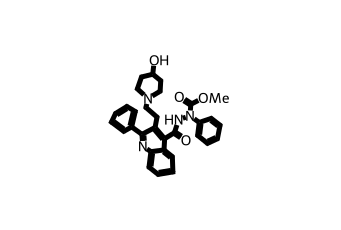 COC(=O)N(NC(=O)c1c(CCN2CCC(O)CC2)c(-c2ccccc2)nc2ccccc12)c1ccccc1